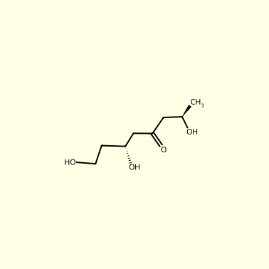 C[C@@H](O)CC(=O)C[C@H](O)CCO